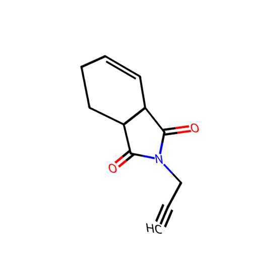 C#CCN1C(=O)C2C=CCCC2C1=O